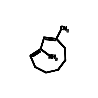 C/C1=C/C(N)=C/CCCCC1